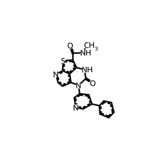 CNC(=O)c1sc2nccc3c2c1NC(=O)N3c1cncc(-c2ccccc2)c1